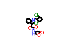 O=C1C=C(NC(=O)C(=O)c2cn(Cc3c(Cl)cccc3Cl)c3ccccc23)CO1